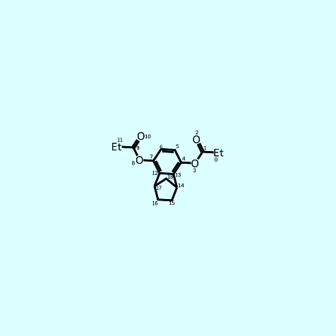 CCC(=O)Oc1ccc(OC(=O)CC)c2c1C1CCC2C1